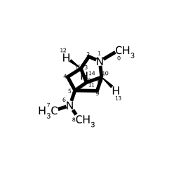 CN1C[C@H]2CC3(N(C)C)C[C@@H]1[C@@H]23